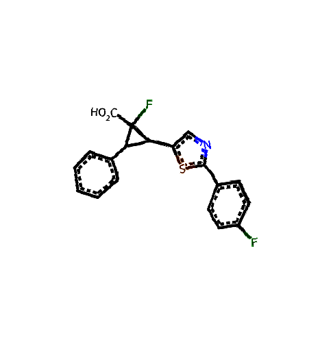 O=C(O)C1(F)C(c2ccccc2)C1c1cnc(-c2ccc(F)cc2)s1